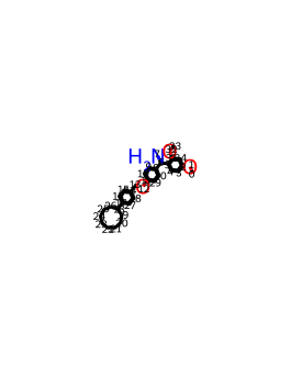 COc1ccc(C(N)c2ccc(OCc3ccc(C4CCCCCCCC4)cc3)cc2)c(OC)c1